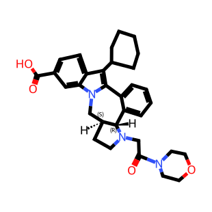 O=C(O)c1ccc2c(C3CCCCC3)c3n(c2c1)C[C@@H]1CCN(CC(=O)N2CCOCC2)[C@H]1c1ccccc1-3